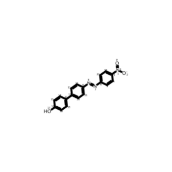 O=[N+]([O-])c1ccc(/N=N/c2ccc(-c3ccc(O)cc3)cc2)cc1